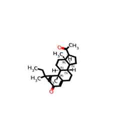 CCC1(C)C2=C1[C@@]1(C)C(=CC2=O)CC[C@@H]2[C@@H]1CC[C@]1(C)[C](C(C)=O)CC[C@@H]21